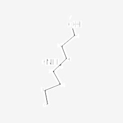 CCCCCCCO.N